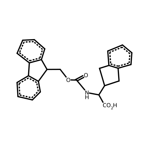 O=C(NC(C(=O)O)C1Cc2ccccc2C1)OCC1c2ccccc2-c2ccccc21